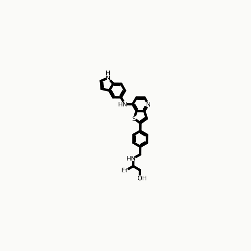 CCC(CO)NCc1ccc(-c2cc3nccc(Nc4ccc5[nH]ccc5c4)c3s2)cc1